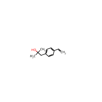 C=Cc1ccc(CC(C)(C)O)cc1